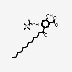 CC(O)[N+](C)(C)C.CCCCCCCCCCCC(=O)c1ccc(O)c(C(=O)[O-])c1